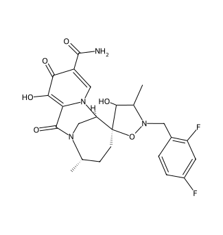 CC1C(O)[C@@]2(CC[C@H](C)N3C[C@H]2n2cc(C(N)=O)c(=O)c(O)c2C3=O)ON1Cc1ccc(F)cc1F